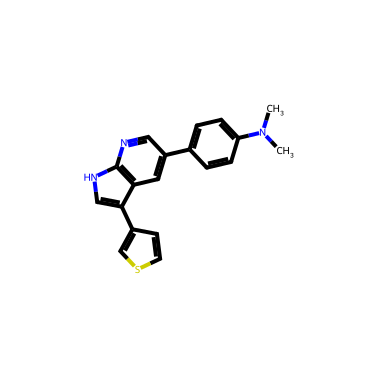 CN(C)c1ccc(-c2cnc3[nH]cc(-c4ccsc4)c3c2)cc1